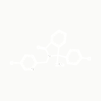 COC1(c2ccc(Cl)cc2)c2ccccc2C(=O)N1Cc1ccc(Cl)cn1